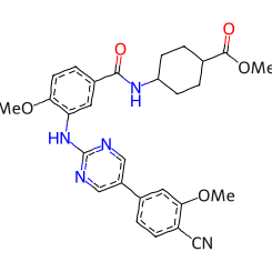 COC(=O)C1CCC(NC(=O)c2ccc(OC)c(Nc3ncc(-c4ccc(C#N)c(OC)c4)cn3)c2)CC1